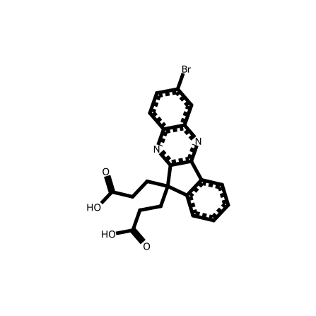 O=C(O)CCC1(CCC(=O)O)c2ccccc2-c2nc3cc(Br)ccc3nc21